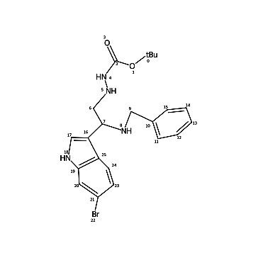 CC(C)(C)OC(=O)NNCC(NCc1ccccc1)c1c[nH]c2cc(Br)ccc12